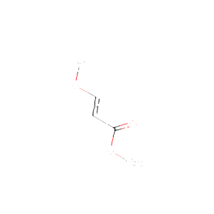 CCCCOC(=O)C=COCC